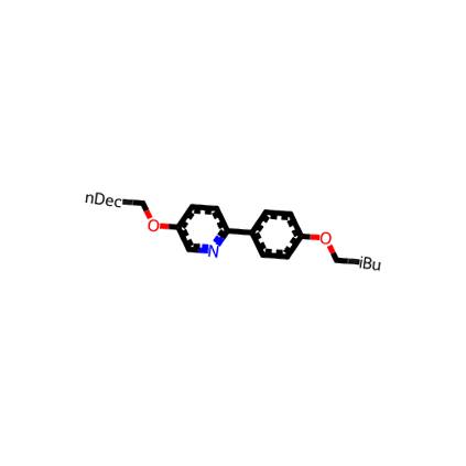 CCCCCCCCCCCOc1ccc(-c2ccc(OCC(C)CC)cc2)nc1